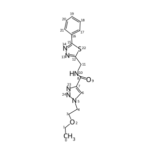 CCOCCn1cc(C(=O)NCc2nnc(-c3ccccc3)s2)nn1